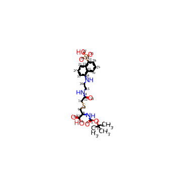 CC(C)(C)OC(=O)NC(CSCC(=O)NCCNc1cccc2c(S(=O)(=O)O)cccc12)C(=O)O